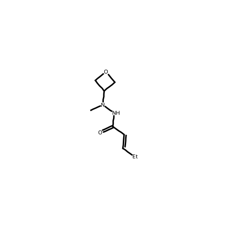 CCC=CC(=O)NN(C)C1COC1